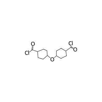 O=C(Cl)C1CCC(OC2CCC(C(=O)Cl)CC2)CC1